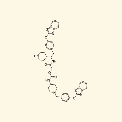 O=C(COC(=O)NC1CCN(Cc2ccc(Oc3nc4ccccc4s3)cc2)CC1)NC(Cc1ccc(Oc2nc3ccccc3s2)cc1)C1CCNCC1